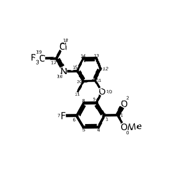 COC(=O)c1ccc(F)cc1Oc1cccc(N=C(Cl)C(F)(F)F)c1C